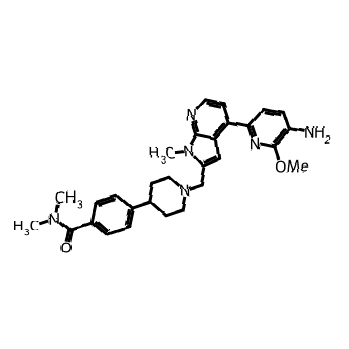 COc1nc(-c2ccnc3c2cc(CN2CCC(c4ccc(C(=O)N(C)C)cc4)CC2)n3C)ccc1N